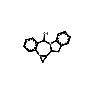 OC1c2ccccc2N2CC2C2Cc3ccccc3N12